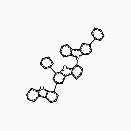 c1ccc(-c2ccc3c(c2)c2ccccc2n3-c2cccc3c2oc2c(-c4ccccc4)cc(-c4cccc5c4oc4ccccc45)cc23)cc1